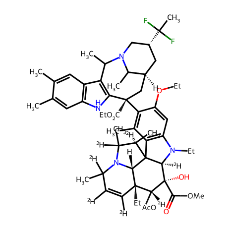 [2H]C1=C([2H])[C@]2(CC)[C@@H]3N(C1([2H])C)C([2H])(C)[C@@]([2H])(C)C31c3c(cc(OCC)c([C@@]4(C(=O)OCC)C[C@@H]5C[C@@H](C(C)(F)F)CN(C(C)c6c4[nH]c4cc(C)c(C)cc64)C5C)c3C)N(CC)[C@@]1([2H])[C@@](O)(C(=O)OC)[C@]2([2H])OC(C)=O